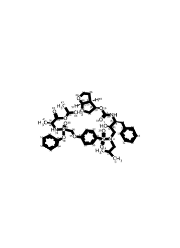 CC(C)CN(C[C@@H](O)[C@H](Cc1ccccc1)NC(=O)O[C@H]1CO[C@H]2OCC[C@H]21)S(=O)(=O)c1ccc(OCP(=O)(N[C@@H](C)C(=O)OC(C)C)Oc2ccccc2)cc1